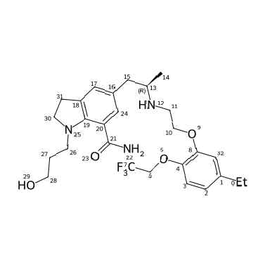 CCc1ccc(OCC(F)(F)F)c(OCCN[C@H](C)Cc2cc3c(c(C(N)=O)c2)N(CCCO)CC3)c1